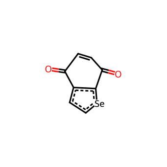 O=C1C=CC(=O)c2[se]ccc21